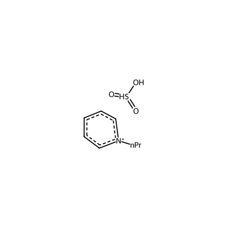 CCC[n+]1ccccc1.O=[SH](=O)O